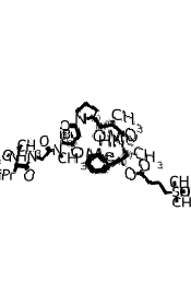 CC[C@H](C)[C@@H]([C@@H](CC(=O)N1CCC[C@H]1[C@H](OC)[C@@H](C)C(=O)N[C@H](C)[C@@H](OC(=O)CCC[SH](C)(C)=O)c1ccccc1)OC)N(C)C(=O)CNC(=O)C(C(C)C)N(C)C